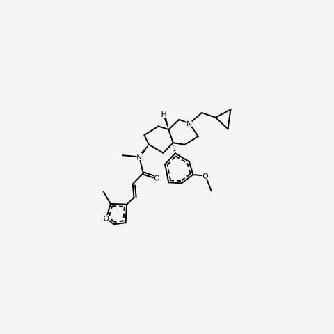 COc1cccc([C@@]23CCN(CC4CC4)C[C@H]2CC[C@H](N(C)C(=O)/C=C/c2ccoc2C)C3)c1